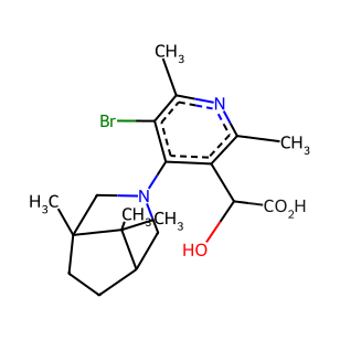 Cc1nc(C)c(C(O)C(=O)O)c(N2CC3CCC(C)(C2)C3(C)C)c1Br